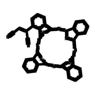 N#CC=C(C#N)c1cccc2c3nc4nc(nc5[nH]c(nc6nc(nc([nH]3)c12)-c1ccccc1-6)c1ccccc51)-c1ccccc1-4